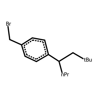 CCCC(CC(C)(C)C)c1ccc(CBr)cc1